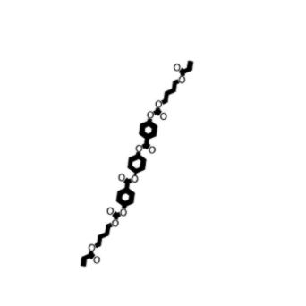 C=CC(=O)OCCCCOC(=O)Oc1ccc(C(=O)OC2=CC[C@H](OC(=O)c3ccc(OC(=O)OCCCCOC(=O)C=C)cc3)C=C2)cc1